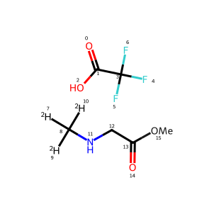 O=C(O)C(F)(F)F.[2H]C([2H])([2H])NCC(=O)OC